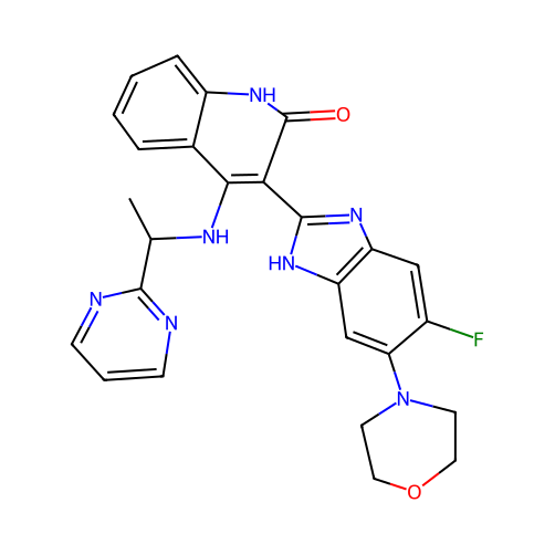 CC(Nc1c(-c2nc3cc(F)c(N4CCOCC4)cc3[nH]2)c(=O)[nH]c2ccccc12)c1ncccn1